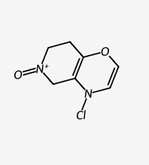 O=[N+]1CCC2=C(C1)N(Cl)C=CO2